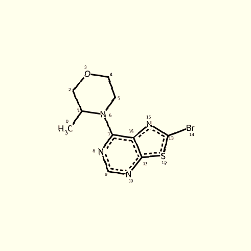 CC1COCCN1c1ncnc2sc(Br)nc12